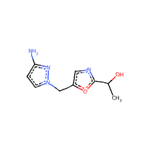 CC(O)c1ncc(Cn2ccc(N)n2)o1